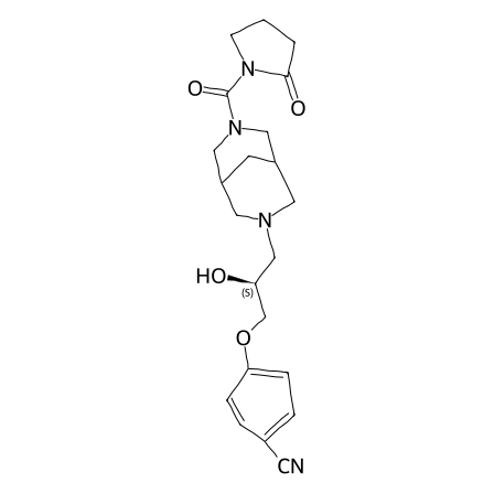 N#Cc1ccc(OC[C@@H](O)CN2CC3CC(C2)CN(C(=O)N2CCCC2=O)C3)cc1